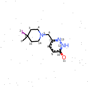 CC1(I)CCN(Cc2ccc(=O)[nH]n2)CC1